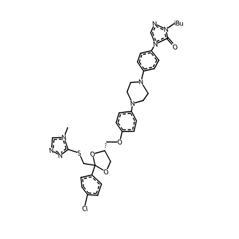 CCC(C)n1ncn(-c2ccc(N3CCN(c4ccc(OC[C@@H]5COC(CSc6nncn6C)(c6ccc(Cl)cc6)O5)cc4)CC3)cc2)c1=O